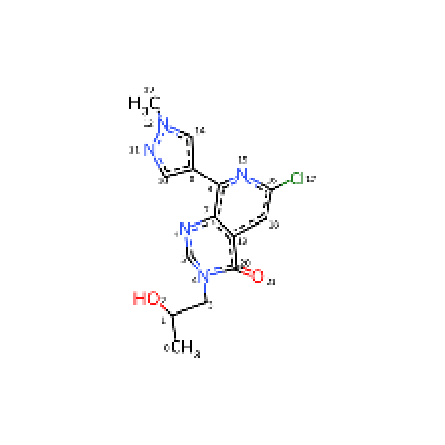 CC(O)Cn1cnc2c(-c3cnn(C)c3)nc(Cl)cc2c1=O